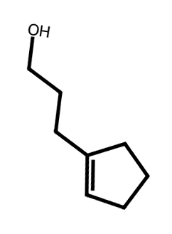 OCCCC1=CCCC1